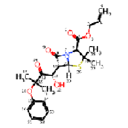 C=CCOC(=O)[C@@H]1N2C(=O)[C@@H]([C@H](O)C(=O)C(C)(C)Oc3ccccc3)[C@H]2SC1(C)C